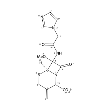 C=C1CS[C@@H]2N(C(=O)C2(NC(=O)Cn2ccnc2)OC)C1C(=O)O